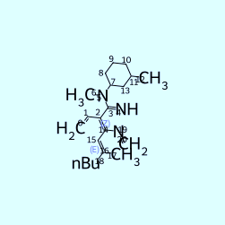 C=C/C(C(=N)N(C)C1CCCC(C)C1)=C(\C=C(/C)CCCC)N=C